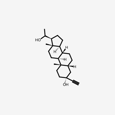 C#C[C@@]1(O)CC[C@@]2(C)[C@H](CC[C@@H]3[C@@H]2CC[C@]2(C)[C@@H](C(C)O)CC[C@@H]32)C1